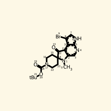 CN1c2cnc3[nH]cc(Br)c3c2C(=O)C12CCN(C(=O)OC(C)(C)C)CC2